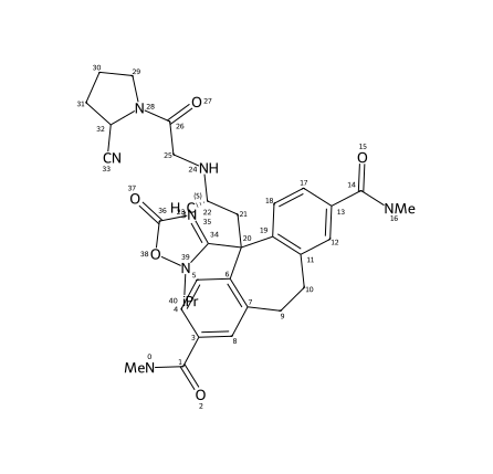 CNC(=O)c1ccc2c(c1)CCc1cc(C(=O)NC)ccc1C2(C[C@H](C)NCC(=O)N1CCCC1C#N)c1nc(=O)on1C(C)C